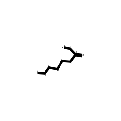 [CH]=C(C[CH2])CCCCCC